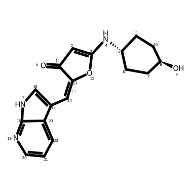 O=C1C=C(N[C@H]2CC[C@H](O)CC2)O/C1=C/c1c[nH]c2ncccc12